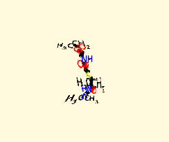 C=C(C)C(=O)OCCNC(=O)OCCSCC(C)(C)C(=O)NCCN(C)C